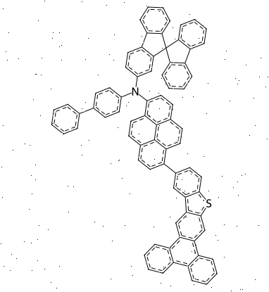 c1ccc(-c2ccc(N(c3ccc4c(c3)C3(c5ccccc5-c5ccccc53)c3ccccc3-4)c3ccc4ccc5c(-c6ccc7sc8cc9c%10ccccc%10c%10ccccc%10c9cc8c7c6)ccc6ccc3c4c65)cc2)cc1